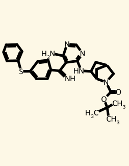 CC(C)(C)OC(=O)N1CC2CC(Nc3ncnc(N)c3C(=N)c3ccc(Sc4ccccc4)cc3)C1C2